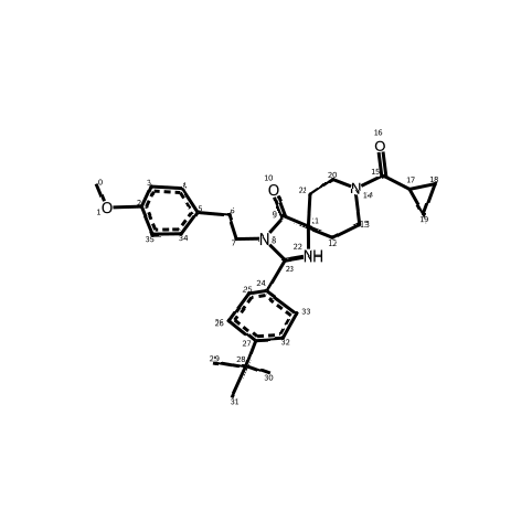 COc1ccc(CCN2C(=O)C3(CCN(C(=O)C4CC4)CC3)NC2c2ccc(C(C)(C)C)cc2)cc1